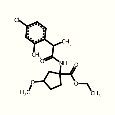 CCOC(=O)C1(NC(=O)C(C)c2ccc(Cl)cc2C)CCC(OC)C1